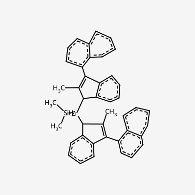 CC1=C(c2cccc3ccccc23)c2ccccc2[CH]1[Zr]([CH]1C(C)=C(c2cccc3ccccc23)c2ccccc21)[SiH](C)C